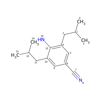 CC(C)Cc1cc(C#N)cc(CC(C)C)c1[NH]